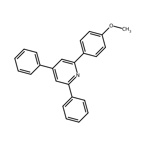 COc1ccc(-c2cc(-c3ccccc3)cc(-c3ccccc3)n2)cc1